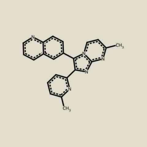 Cc1cccc(-c2nc3nc(C)ccn3c2-c2ccc3ncccc3c2)n1